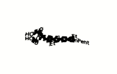 C=C(CO)C(=O)OCC(CCc1ccc(C2CCC(C3CCC(c4ccc(CCCCC)c(CC)c4)CC3)CC2)c(CC)c1)COC(=O)C(=C)CO